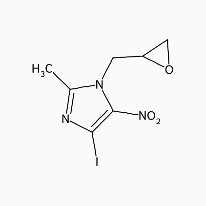 Cc1nc(I)c([N+](=O)[O-])n1CC1CO1